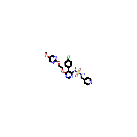 COc1cnc(OCCOc2ncnc(NS(=O)(=O)NCc3ccncc3)c2-c2ccc(Cl)cc2)nc1